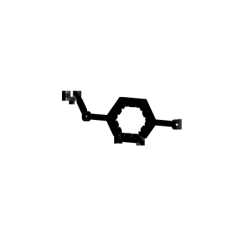 NOc1ccc(Cl)nn1